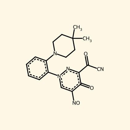 CC1(C)CCN(c2ccccc2-n2cc(N=O)c(=O)c(C(=O)C#N)n2)CC1